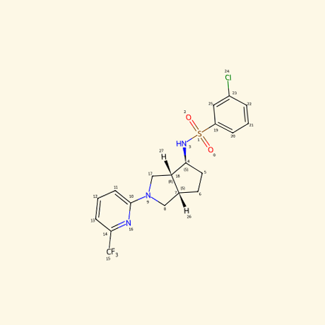 O=S(=O)(N[C@H]1CC[C@@H]2CN(c3cccc(C(F)(F)F)n3)C[C@@H]21)c1cccc(Cl)c1